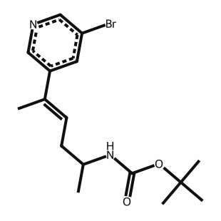 CC(=CCC(C)NC(=O)OC(C)(C)C)c1cncc(Br)c1